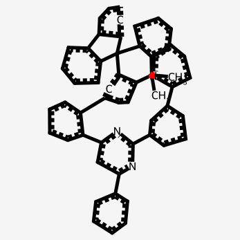 CC1(C)c2ccccc2C2(c3ccccc3-c3ccccc32)c2cc(-c3ccccc3-c3cc(-c4ccccc4)nc(-c4cccc(-c5ccccn5)c4)n3)ccc21